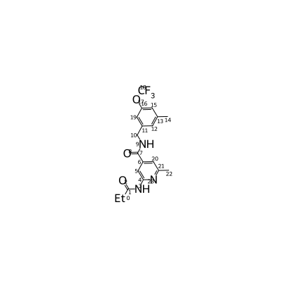 CCC(=O)Nc1cc(C(=O)NCc2cc(C)cc(OC(F)(F)F)c2)cc(C)n1